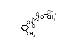 Cc1cccc(OC(=O)/N=N/C(=O)OCC(C)C)c1